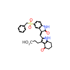 O=C(O)CCc1c(C=C2C(=O)Nc3ccc(S(=O)(=O)Cc4ccccc4)cc32)[nH]c2c1C(=O)CCC2